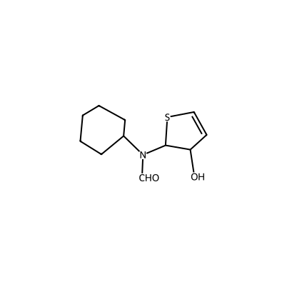 O=CN(C1CCCCC1)C1SC=CC1O